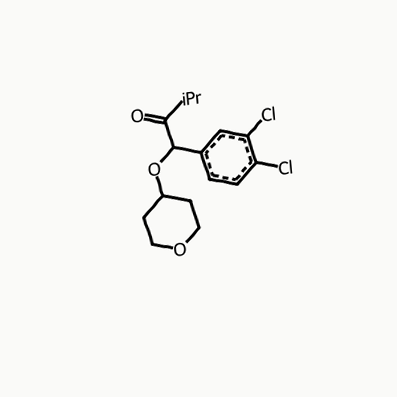 CC(C)C(=O)C(OC1CCOCC1)c1ccc(Cl)c(Cl)c1